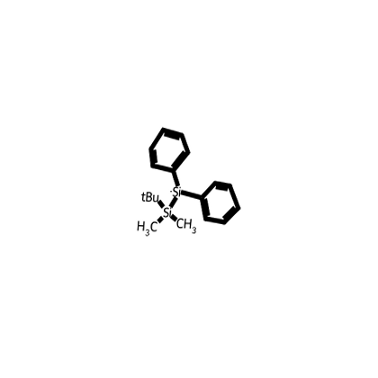 CC(C)(C)[Si](C)(C)[Si](c1ccccc1)c1ccccc1